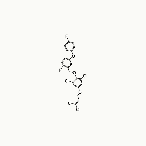 Fc1ccc(Oc2ccc(F)c(COc3c(Cl)cc(OCC=C(Cl)Cl)cc3Cl)c2)cc1